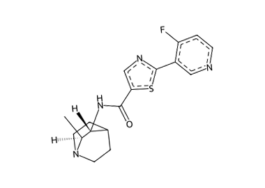 C[C@H]1[C@H](NC(=O)c2cnc(-c3cnccc3F)s2)C2CCN1CC2